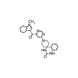 Cn1cc(C(=O)c2cc(N3CCC4(CC3)NC(=O)Nc3ccccc34)ncn2)c2ccccc21